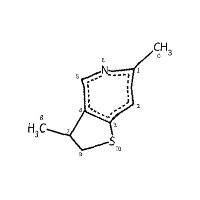 Cc1cc2c(cn1)C(C)CS2